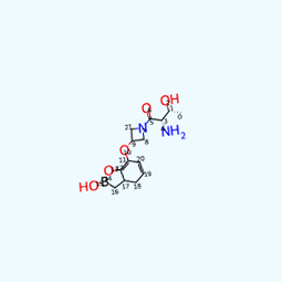 C[C@@H](O)[C@H](N)C(=O)N1CC(OC2=C3OB(O)CC3CC=C2)C1